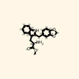 COC(=O)[C@H](N)Cc1c(Cc2ccc3c(c2)OCO3)[nH]c2ccccc12